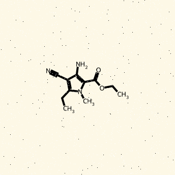 CCOC(=O)c1c(N)c(C#N)c(CC)n1C